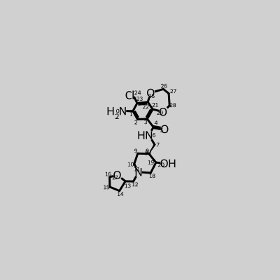 Nc1cc(C(=O)NC[C@@H]2CCN(CC3CCCO3)CC2O)c2c(c1Cl)OCCCO2